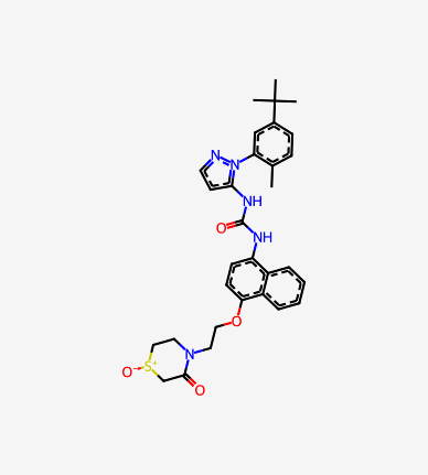 Cc1ccc(C(C)(C)C)cc1-n1nccc1NC(=O)Nc1ccc(OCCN2CC[S+]([O-])CC2=O)c2ccccc12